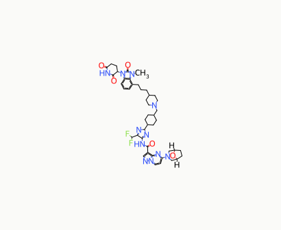 Cn1c(=O)n(C2CCC(=O)NC2=O)c2cccc(CCCC3CCN(CC4CCC(C5N=C(NC(=O)c6cnn7ccc(N8C[C@H]9CC[C@@H](C8)O9)nc67)C(C(F)F)=N5)CC4)CC3)c21